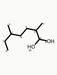 CCC(C)CCC(C)C(O)O